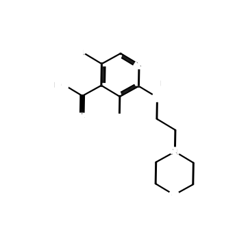 Cl.O=C(O)c1c(Cl)cnc(OCCN2CCOCC2)c1Cl